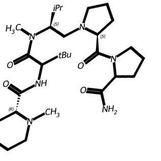 CC(C)[C@@H](CN1CCC[C@H]1C(=O)N1CCCC1C(N)=O)N(C)C(=O)C(NC(=O)[C@H]1CCCCN1C)C(C)(C)C